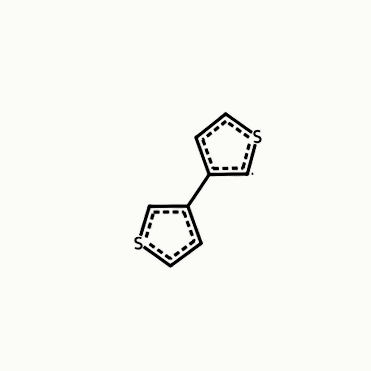 [c]1sccc1-c1ccsc1